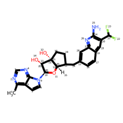 Cc1ncnc2c1ccn2[C@@H]1O[C@@H]2C(Cc3ccc4cc(C(F)F)c(N)nc4c3)CC[C@]2(O)[C@H]1O